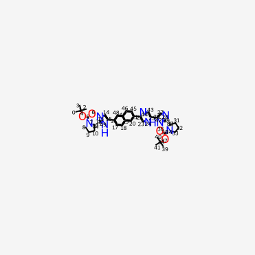 CC(C)(C)OC(=O)N1CCC[C@H]1c1ncc(-c2ccc3cc(-c4cnc(-c5cnc([C@@H]6CCCN6C(=O)OC(C)(C)C)[nH]5)cn4)ccc3c2)[nH]1